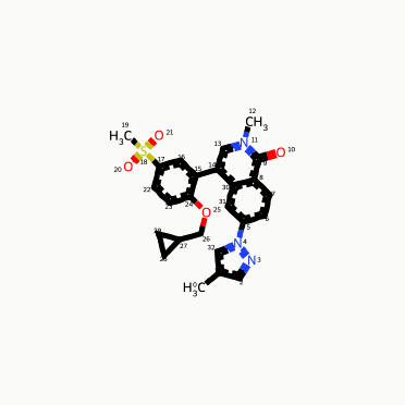 Cc1cnn(-c2ccc3c(=O)n(C)cc(-c4cc(S(C)(=O)=O)ccc4OCC4CC4)c3c2)c1